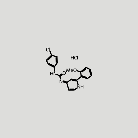 COc1ccccc1-c1cc(=NC(=O)Nc2ccc(Cl)cc2)cc[nH]1.Cl